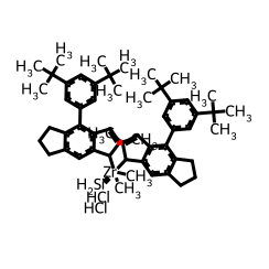 CC1=Cc2c(cc3c(c2-c2cc(C(C)(C)C)cc(C(C)(C)C)c2)CCC3)[CH]1[Zr]([CH3])([CH3])(=[SiH2])[CH]1C(C)=Cc2c1cc1c(c2-c2cc(C(C)(C)C)cc(C(C)(C)C)c2)CCC1.Cl.Cl